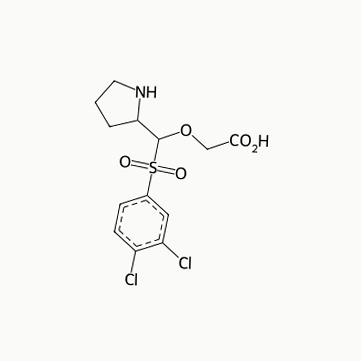 O=C(O)COC(C1CCCN1)S(=O)(=O)c1ccc(Cl)c(Cl)c1